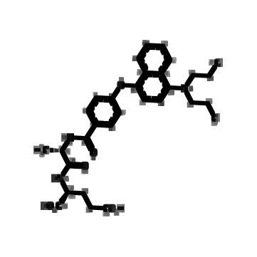 C[C@H](NC(=O)c1ccc(Oc2ccc(N(CCCl)CCCl)c3ccccc23)cc1)C(=O)N[C@@H](CCC(=O)O)C(=O)O